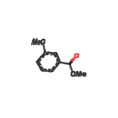 [CH2]OC(=O)c1cccc(OC)c1